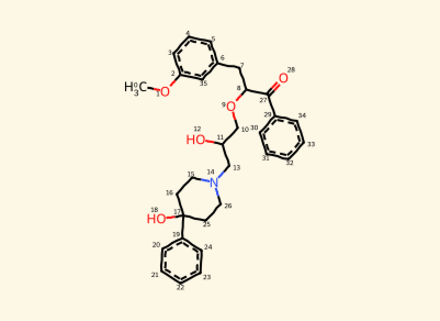 COc1cccc(CC(OCC(O)CN2CCC(O)(c3ccccc3)CC2)C(=O)c2ccccc2)c1